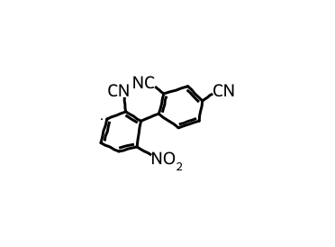 N#Cc1ccc(-c2c(C#N)[c]ccc2[N+](=O)[O-])c(C#N)c1